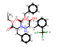 CCOC(=O)[C@H](Cc1ccccc1)N(N[C@@H](Cc1ccccc1C(F)(F)F)C(=O)O)C(=O)OCc1ccccc1